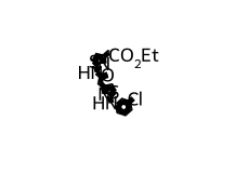 CCOC(=O)Cc1csc(NC(=O)Cc2csc(Nc3cccc(Cl)c3)n2)n1